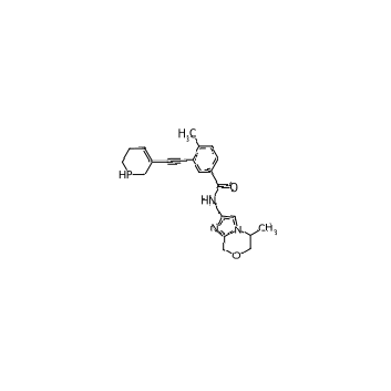 Cc1ccc(C(=O)Nc2cn3c(n2)COCC3C)cc1C#CC1=CCCPC1